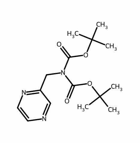 CC(C)(C)OC(=O)N(Cc1cnccn1)C(=O)OC(C)(C)C